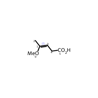 CO/C(C)=C\CC(=O)O